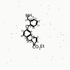 CCOC(=O)N1C=CN2c3cc(Oc4ccccc4CN)ccc3SC12